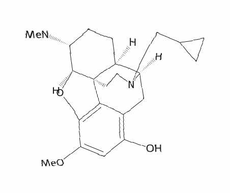 CN[C@@H]1CC[C@H]2[C@H]3Cc4c(O)cc(OC)c5c4[C@@]2(CCN3CC2CC2)[C@H]1O5